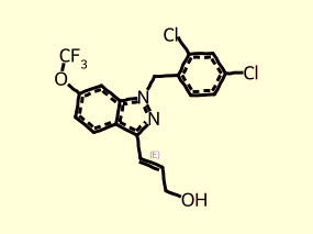 OC/C=C/c1nn(Cc2ccc(Cl)cc2Cl)c2cc(OC(F)(F)F)ccc12